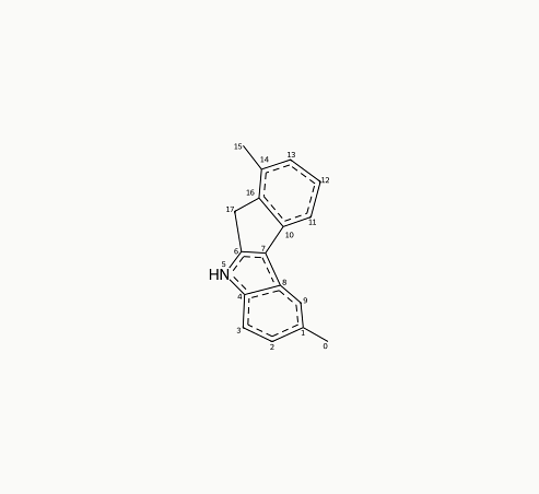 Cc1ccc2[nH]c3c(c2c1)-c1cccc(C)c1C3